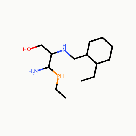 CCPC(N)C(CO)NCC1CCCCC1CC